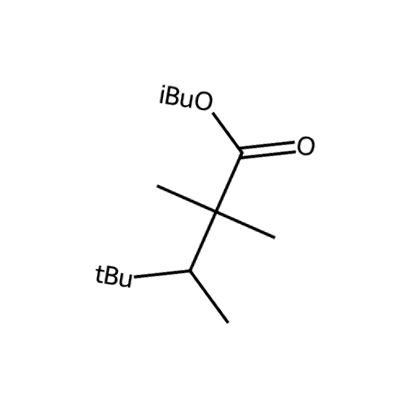 CC(C)COC(=O)C(C)(C)C(C)C(C)(C)C